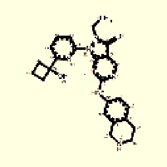 CCn1c(=O)c2cnc(Nc3ccc4c(c3)CNCC4)nc2n1-c1cccc(C2(O)CCC2)n1